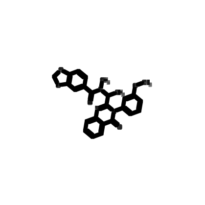 COc1cccc(-n2c(C(C)N(C)C(=O)c3ccc4c(c3)OCO4)nc3ccccc3c2=O)c1